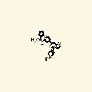 CC(C)N1CC2CC1CN2c1nc(-c2ccnc(N[C@@H](C)c3ccccc3)c2)cc2nccn12